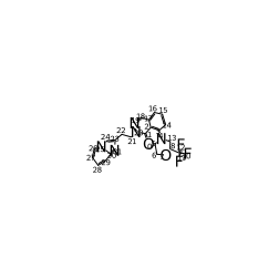 O=c1c2c(N3CCOC(C(F)(F)F)C3)cccc2cnn1CCc1cn2ccccc2n1